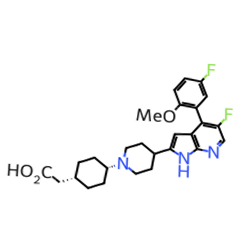 COc1ccc(F)cc1-c1c(F)cnc2[nH]c(C3CCN([C@H]4CC[C@@H](CC(=O)O)CC4)CC3)cc12